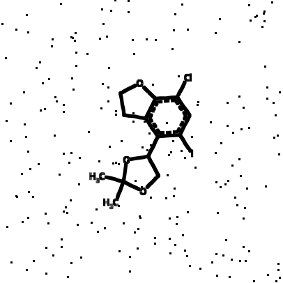 CC1(C)OCC(c2c(I)cc(Cl)c3c2CCO3)O1